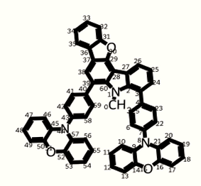 Cn1c2c(-c3ccc(N4c5ccccc5Oc5ccccc54)cc3)cccc2c2c3oc4ccccc4c3cc(-c3ccc(N4c5ccccc5Oc5ccccc54)cc3)c21